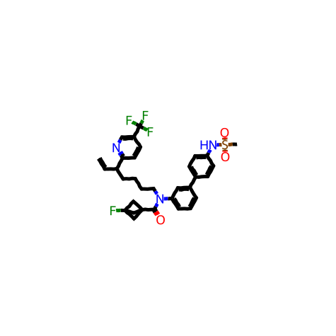 C=CC(CCCCN(C(=O)C12CC(F)(C1)C2)c1cccc(-c2ccc(NS(C)(=O)=O)cc2)c1)c1ccc(C(F)(F)F)cn1